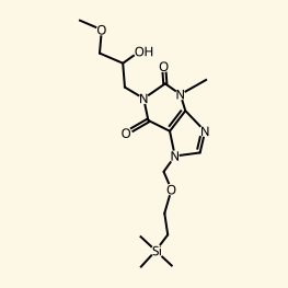 COCC(O)Cn1c(=O)c2c(ncn2COCC[Si](C)(C)C)n(C)c1=O